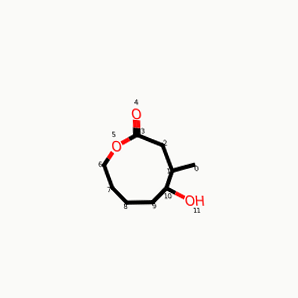 CC1CC(=O)OCCCCC1O